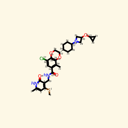 CSc1cc(C)[nH]c(=O)c1CNC(=O)c1cc(Cl)c2c(c1C)O[C@@H](C1CCC(N3CC(OC4CC4)C3)CC1)CO2